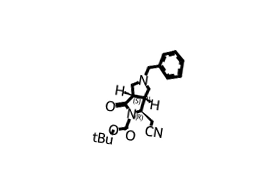 CC(C)(C)OC(=O)N1C(=O)[C@@H]2CN(Cc3ccccc3)C[C@@H]2[C@H]1CC#N